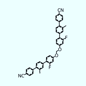 Cc1cc(-c2ccc(OCOc3ccc(-c4ccc(-c5ccc(C#N)cc5)c(C)c4)c(F)c3)cc2F)ccc1-c1ccc(C#N)cc1